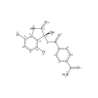 NC(=O)c1ccc(C(=O)C[C@@]2(O)C(=O)Nc3c(Cl)ccc(Cl)c32)cc1